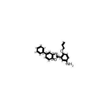 C=CCOc1ccc(N)cc1-c1nc2cc(-c3ccccc3)ccc2o1